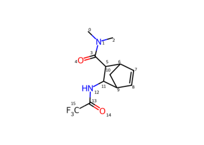 CN(C)C(=O)C1C2C=CC(C2)C1NC(=O)C(F)(F)F